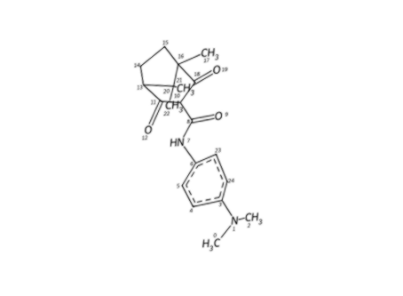 CN(C)c1ccc(NC(=O)C2C(=O)C3CCC(C)(C2=O)C3(C)C)cc1